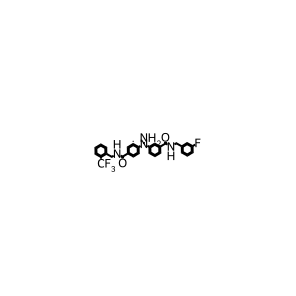 NN(c1[c]cc(C(=O)NCc2ccccc2C(F)(F)F)cc1)c1cccc(C(=O)NCc2cccc(F)c2)c1